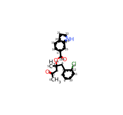 CC(=O)CC(C)(Cc1ccccc1Cl)OC(=O)c1ccc2cc[nH]c2c1